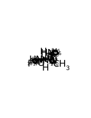 Cc1ccc(C(=O)NNC(=O)Nc2ccc(F)cc2)c(-c2c[nH]c3ccccc23)n1